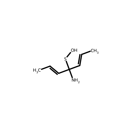 CC=CC(N)(C=CC)SO